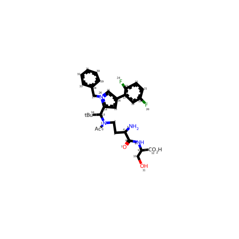 CC(=O)N(CCC(N)C(=O)NC(CO)C(=O)O)C(c1cc(-c2cc(F)ccc2F)cn1Cc1ccccc1)C(C)(C)C